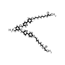 C=CC(=O)OCCCCCCCCOc1ccc(-c2ccc(COc3ccc(CC)cc3OCc3ccc(-c4ccc(OCCCCCCCCOC(=O)C=C)cc4)nc3)cn2)cc1